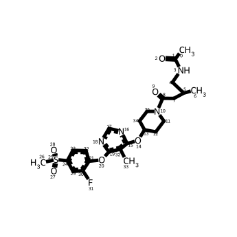 CC(=O)NCC(C)CC(=O)N1CCC(Oc2ncnc(Oc3ccc(S(C)(=O)=O)cc3F)c2C)CC1